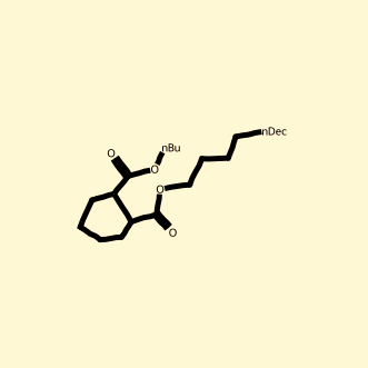 CCCCCCCCCCCCCCOC(=O)C1CCCCC1C(=O)OCCCC